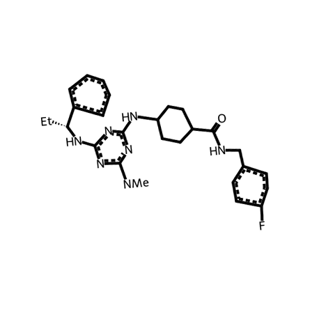 CC[C@@H](Nc1nc(NC)nc(NC2CCC(C(=O)NCc3ccc(F)cc3)CC2)n1)c1ccccc1